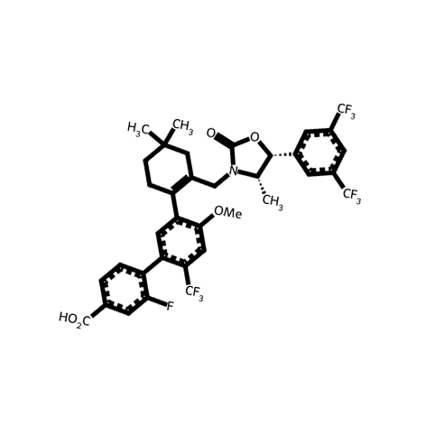 COc1cc(C(F)(F)F)c(-c2ccc(C(=O)O)cc2F)cc1C1=C(CN2C(=O)O[C@H](c3cc(C(F)(F)F)cc(C(F)(F)F)c3)[C@@H]2C)CC(C)(C)CC1